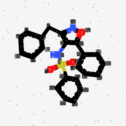 O=S(=O)(Nc1c(Cc2ccccc2)noc1-c1ccccc1)c1ccccc1